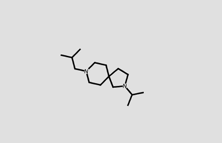 CC(C)CN1CCC2(CC1)CCN(C(C)C)C2